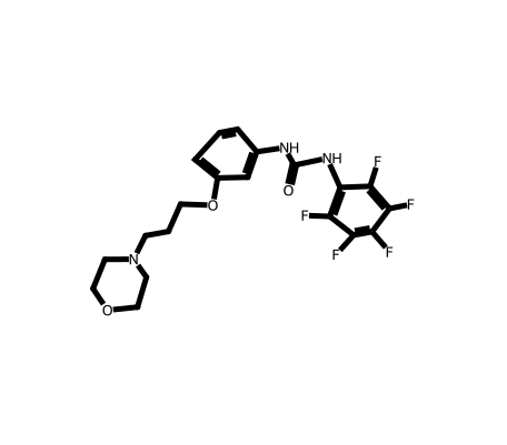 O=C(Nc1cccc(OCCCN2CCOCC2)c1)Nc1c(F)c(F)c(F)c(F)c1F